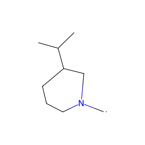 [CH2]N1CCCC(C(C)C)C1